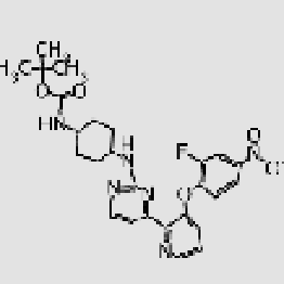 CC(C)(C)OC(=O)NC1CCC(Nc2nccc(-c3ncccc3Oc3ccc([N+](=O)[O-])cc3F)n2)CC1